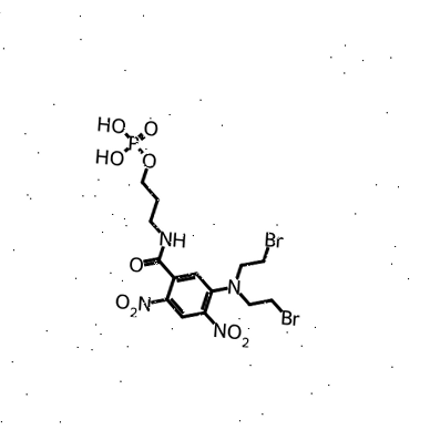 O=C(NCCCOP(=O)(O)O)c1cc(N(CCBr)CCBr)c([N+](=O)[O-])cc1[N+](=O)[O-]